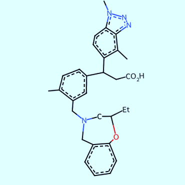 CCC1CN(Cc2cc(C(CC(=O)O)c3ccc4c(nnn4C)c3C)ccc2C)Cc2ccccc2O1